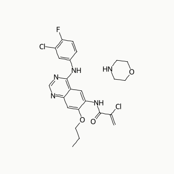 C1COCCN1.C=C(Cl)C(=O)Nc1cc2c(Nc3ccc(F)c(Cl)c3)ncnc2cc1OCCC